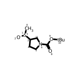 C[S+]([O-])C1CCN(C(=O)OC(C)(C)C)C1